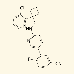 N#Cc1ccc(F)c(-c2cnc(NCC3(c4ncccc4Cl)CCC3)nc2)c1